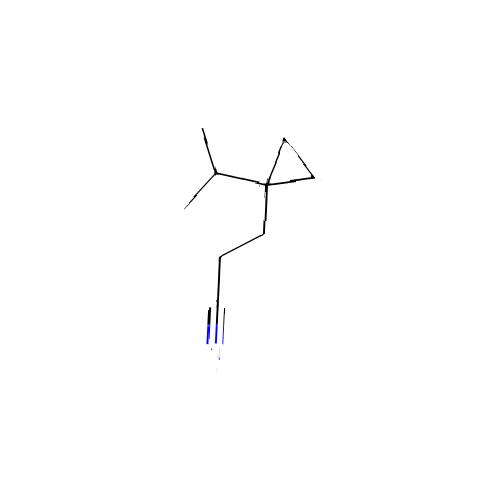 CC(C)C1(CCC#N)CC1